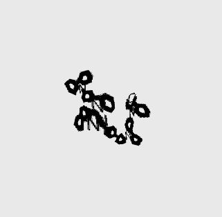 c1cc(-c2ccc(-c3nc(-n4c5ccccc5c5cc(-n6c7ccccc7c7ccccc76)ccc54)c4ccc5ccccc5c4n3)cc2)cc(-n2c3ccccc3c3cc(-n4c5ccccc5c5ccccc54)ccc32)c1